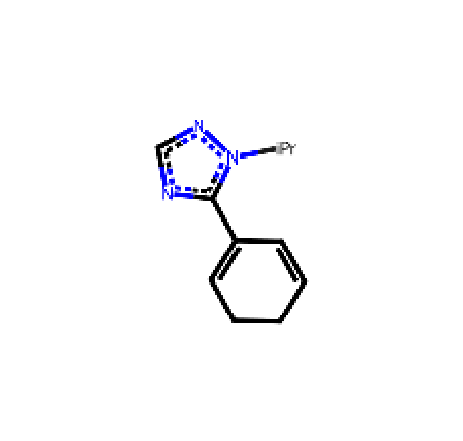 CC(C)n1ncnc1C1=CCCC=C1